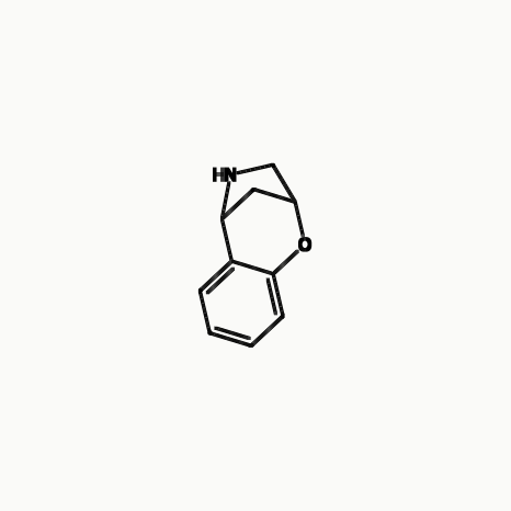 c1ccc2c(c1)OC1CNC2C1